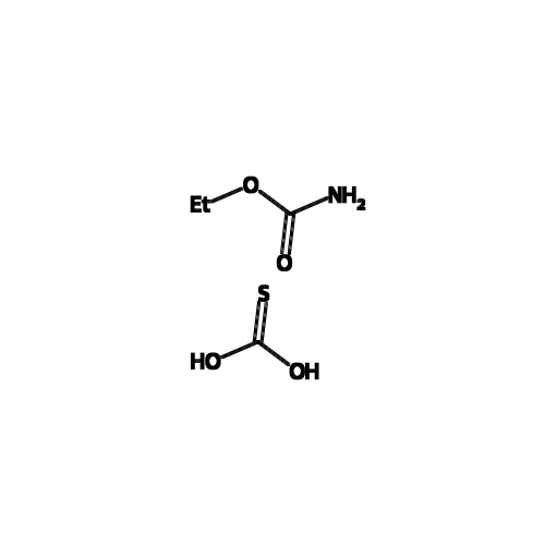 CCOC(N)=O.OC(O)=S